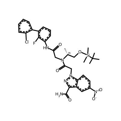 C[C@H](CO[Si](C)(C)C(C)(C)C)N(CC(=O)Nc1cccc(-c2ccccc2Cl)c1F)C(=O)Cn1nc(C(N)=O)c2cc([N+](=O)[O-])ccc21